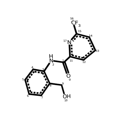 O=C(Nc1ccccc1CO)c1cccc(C(F)(F)F)n1